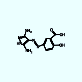 Nc1n[nH]c(N)c1N=Nc1ccc(O)c(C(=O)O)c1